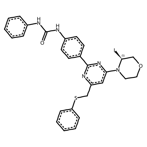 O=C(Nc1ccccc1)Nc1ccc(-c2nc(CSc3ccccc3)cc(N3CCOC[C@@H]3I)n2)cc1